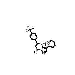 O=c1cc(-c2ccc(C(F)(F)F)cc2)[nH]c2c(-c3ccccn3)cnn12